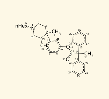 CCCCCCN1CCC(C)(c2cccc(OC(=O)C(C)(c3ccccc3)c3ccccc3)c2)C(C)C1